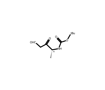 C[C@@H](NC(=O)OC(C)(C)C)C(=O)CC=O